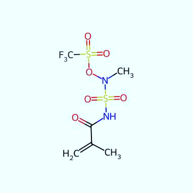 C=C(C)C(=O)NS(=O)(=O)N(C)OS(=O)(=O)C(F)(F)F